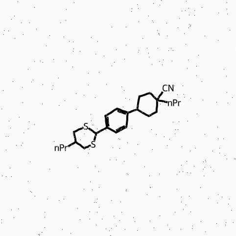 CCCC1CSC(c2ccc(C3CCC(C#N)(CCC)CC3)cc2)SC1